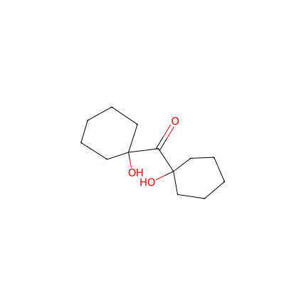 O=C(C1(O)CCCCC1)C1(O)CCCCC1